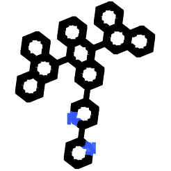 c1ccc(-c2ccc(-c3ccc4c(-c5cc6ccccc6c6ccccc56)c5ccccc5c(-c5cc6ccccc6c6ccccc56)c4c3)cn2)nc1